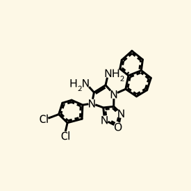 NC1=C(N)N(c2cccc3ccccc23)c2nonc2N1c1ccc(Cl)c(Cl)c1